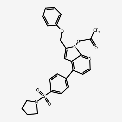 O=C(On1c(COc2ccccc2)cc2c(-c3ccc(S(=O)(=O)N4CCCC4)cc3)ccnc21)C(F)(F)F